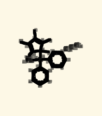 CC1=C(C)C(C)([Si](c2ccccc2)(c2ccccc2)C(C)(C)C)[C]([Ti+3])=C1C.[Cl-].[Cl-].[Cl-]